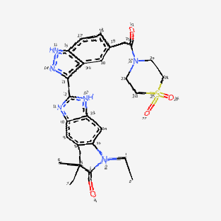 CCN1C(=O)C(C)(C)c2cc3nc(-c4n[nH]c5ccc(C(=O)N6CCS(=O)(=O)CC6)cc45)[nH]c3cc21